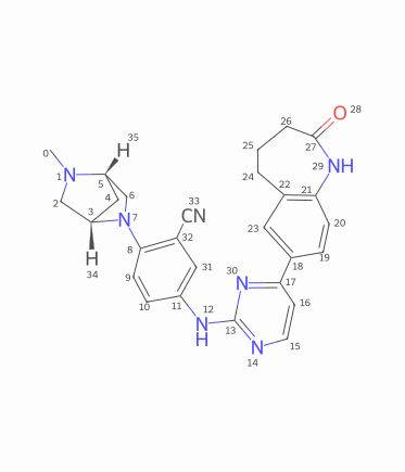 CN1C[C@@H]2C[C@H]1CN2c1ccc(Nc2nccc(-c3ccc4c(c3)CCCC(=O)N4)n2)cc1C#N